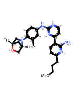 COCCCc1ccc(-c2ccnc(Nc3ccc(N4C[C@@H]5C[C@H]4CO5)c(C)c3)n2)c(N)n1